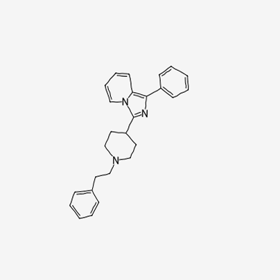 c1ccc(CCN2CCC(c3nc(-c4ccccc4)c4ccccn34)CC2)cc1